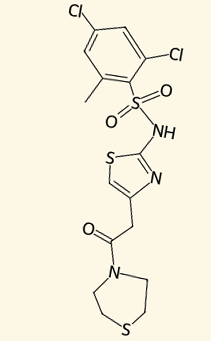 Cc1cc(Cl)cc(Cl)c1S(=O)(=O)Nc1nc(CC(=O)N2CCSCC2)cs1